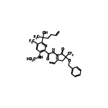 C=CCCC(OCc1ccccc1)(C(=O)NNC(=O)c1nc(C(O)(CCC=C)C(F)(F)F)c(C(F)(F)F)cc1NC(=O)O)C(F)(F)F